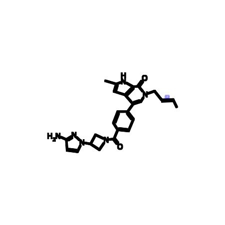 C/C=C/Cn1cc(-c2ccc(C(=O)N3CC(n4ccc(N)n4)C3)cc2)c2cc(C)[nH]c2c1=O